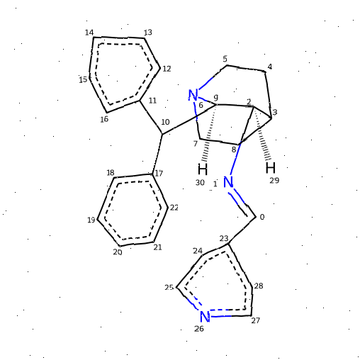 C(=N[C@@H]1C2CCN(CC2)[C@@H]1C(c1ccccc1)c1ccccc1)c1ccncc1